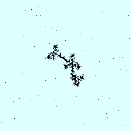 CC(C)(C)OC(=O)/N=C(\NCCCCCCCCN(C(=O)OC(C)(C)C)/C(=N\C(=O)OC(C)(C)C)N(CCCOCc1ccc(C2=NCCCN2C(=O)OC(C)(C)C)cn1)C(=O)OC(C)(C)C)NC(=O)OC(C)(C)C